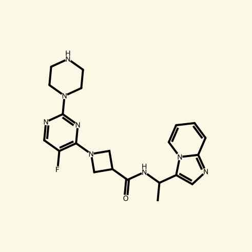 CC(NC(=O)C1CN(c2nc(N3CCNCC3)ncc2F)C1)c1cnc2ccccn12